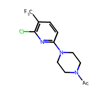 CC(=O)N1CCN(c2ccc(C(F)(F)F)c(Cl)n2)CC1